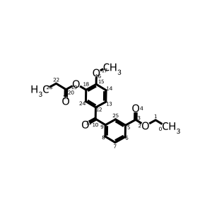 CCOC(=O)c1cccc(C(=O)c2ccc(OC)c(OC(=O)CC)c2)c1